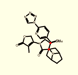 COC1CN(C2=C(C)C(=O)OC2)C(=O)C12CC1CCC(C2)N1CC(O)c1ccc(-n2cnnn2)nc1